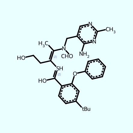 C/C(=C(CCO)/[SH]=C(\O)c1ccc(C(C)(C)C)cc1Oc1ccccc1)N(C=O)Cc1cnc(C)nc1N